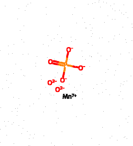 O=P([O-])([O-])[O-].[Mn+7].[O-2].[O-2]